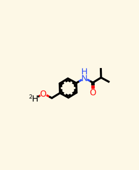 [2H]OCc1ccc(NC(=O)C(C)C)cc1